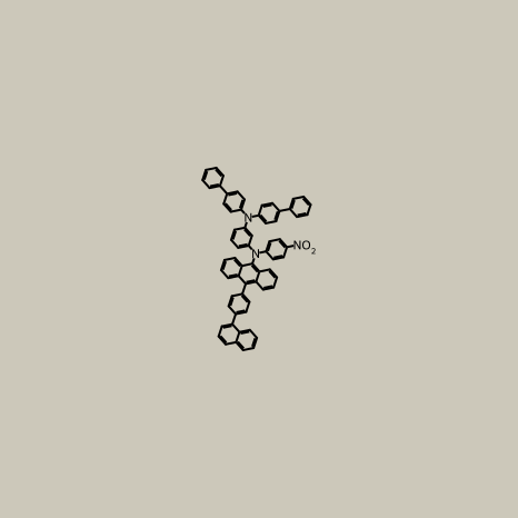 O=[N+]([O-])c1ccc(N(c2cccc(N(c3ccc(-c4ccccc4)cc3)c3ccc(-c4ccccc4)cc3)c2)c2c3ccccc3c(-c3ccc(-c4cccc5ccccc45)cc3)c3ccccc23)cc1